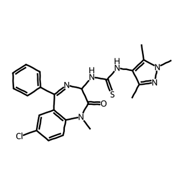 Cc1nn(C)c(C)c1NC(=S)NC1N=C(c2ccccc2)c2cc(Cl)ccc2N(C)C1=O